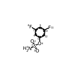 NS(=O)(=O)Oc1cc(F)cc(F)c1